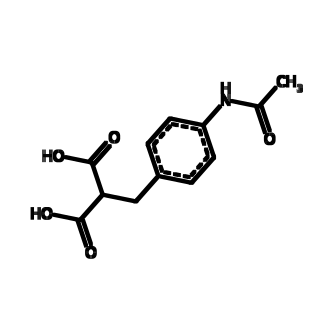 CC(=O)Nc1ccc(CC(C(=O)O)C(=O)O)cc1